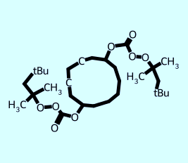 CC(C)(C)CC(C)(C)OOC(=O)OC1CCCCCC(OC(=O)OOC(C)(C)CC(C)(C)C)CCCCC1